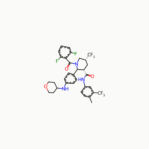 Cc1ccc(NC(=O)[C@H]2C[C@@H](C(F)(F)F)CN(C(=O)c3c(F)cccc3F)C2c2ccc(NC3CCOCC3)cc2)cc1C(F)(F)F